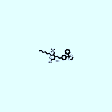 CCCCCCCC(C[Si](C)(C)C)C(CCc1ccc(C2(c3ccccc3)OCCO2)cc1)C(O)C(=O)OC